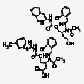 CC(=O)N(NCc1ccccc1Cl)[C@@H](CCO)COC(=O)Nc1cc2ccccc2cn1.CC(=O)N(NCc1ccccc1Cl)[C@H](COC(=O)Nc1nc2ccc(C)cc2s1)CC(=O)O